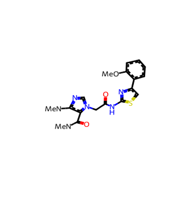 CNC(=O)c1c(NC)ncn1CC(=O)Nc1nc(-c2ccccc2OC)cs1